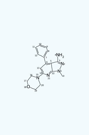 Cn1nc(N)c2c(-c3ccccc3)cc(N3CCOCC3)nc21